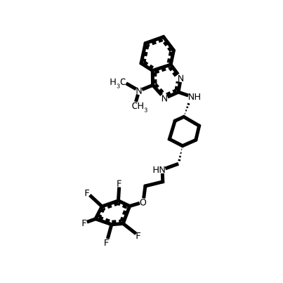 CN(C)c1nc(N[C@H]2CC[C@@H](CNCCOc3c(F)c(F)c(F)c(F)c3F)CC2)nc2ccccc12